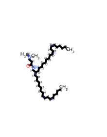 CCCCC/C=C\C/C=C\CCCCCCC/C=C(\CCCCCCCC/C=C\C/C=C\CCCCC)CNC(=O)CCN(C)C